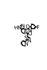 O=C(c1cnc(-c2ccccn2)s1)N1CCc2[nH]cnc2[C@H]1c1nc2cc(F)ccc2o1